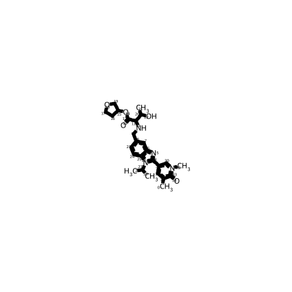 Cc1cc(-c2nc3cc(CNC(C(=O)OC4CCOC4)C(C)O)ccc3n2C(C)C)cn(C)c1=O